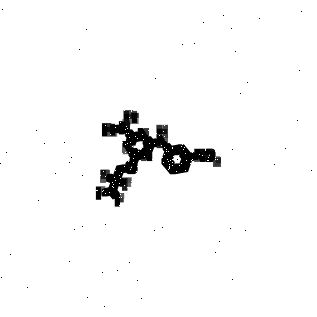 CCN(CC)c1nc(Nc2cccc([N+](=O)[O-])c2)nc(OCC(F)(F)C(F)F)n1